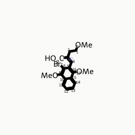 COCC/C(=C/c1c(Br)c(OC)c2ccccc2c1OC)C(=O)O